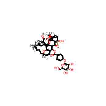 COC(=O)/C(C)=C\CC12OC(C)(C)C3CC(C1=O)C(O)C1(Br)C(=O)c4c(OC(=O)c5ccc(O[C@@H]6O[C@H](CO)[C@@H](O)[C@@H](O)[C@H]6O)cc5)c5c(c(CC=C(C)C)c4OC321)OC(C)(CCC=C(C)C)C=C5